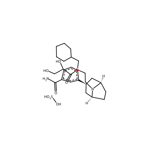 NC(=O)c1cccc([C@H]2C[C@H]3CC[C@@H](C2)N3CCN(CC2CCCCC2)C(=O)C(O)CO)c1.O=S(=O)(O)O